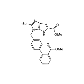 CCCCc1nc2cc(C(=O)OC)[nH]c2n1Cc1ccc(-c2ccccc2C(=O)OC)cc1